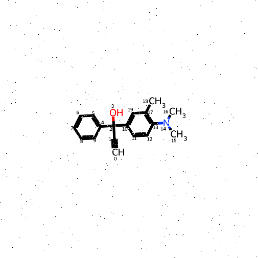 C#CC(O)(c1ccccc1)c1ccc(N(C)C)c(C)c1